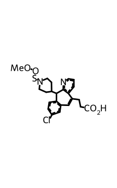 COOSN1CCC(C2c3ccc(Cl)cc3C=C(CCC(=O)O)c3cccnc32)CC1